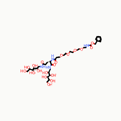 O=C(CC[C@H](NC(=O)CCOCCOCCOCCOCCNC(=O)OCc1ccccc1)C(=O)NC[C@H](O)[C@@H](O)[C@H](O)[C@H](O)CO)NC[C@H](O)[C@@H](O)[C@H](O)[C@H](O)CO